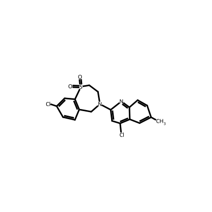 Cc1ccc2nc(N3CCS(=O)(=O)c4cc(Cl)ccc4C3)cc(Cl)c2c1